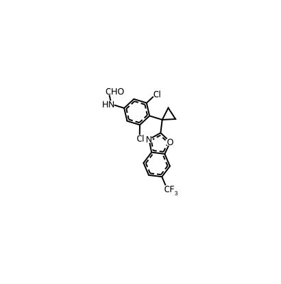 O=CNc1cc(Cl)c(C2(c3nc4ccc(C(F)(F)F)cc4o3)CC2)c(Cl)c1